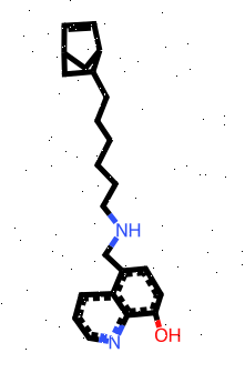 Oc1ccc(CNCCCCCCC2CC3C=CC2C3)c2cccnc12